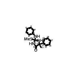 CSC1(Nc2ccccc2)NC(=O)C(C)(c2ccccc2)N1